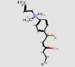 C=CC[N+](C)(C)c1ccc(C(Br)CC(=O)CCBr)cc1